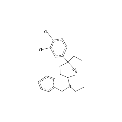 CCN(Cc1ccccc1)C(C)CCC(C#N)(c1ccc(Cl)c(Cl)c1)C(C)C